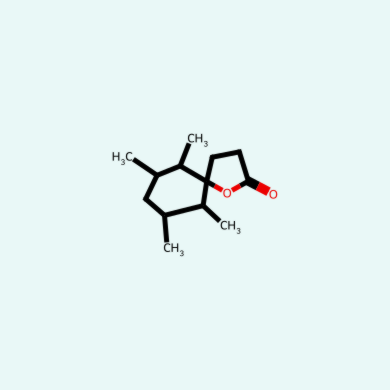 CC1CC(C)C(C)C2(CCC(=O)O2)C1C